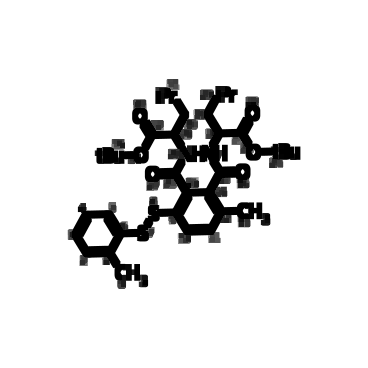 Cc1ccccc1SSc1ccc(C)c(C(=O)NC(CC(C)C)C(=O)OC(C)(C)C)c1C(=O)NC(CC(C)C)C(=O)OC(C)(C)C